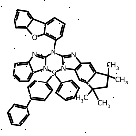 CC1(C)CC(C)(C)c2cc3c(cc21)nc1n3[Si](c2ccccc2)(c2ccc(-c3ccccc3)cc2)n2c(nc3ccccc32)N1c1cccc2c1oc1ccccc12